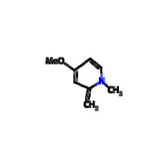 C=C1C=C(OC)C=CN1C